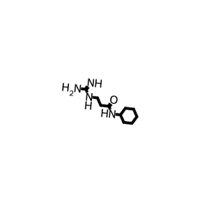 N=C(N)NCCC(=O)NC1CCCCC1